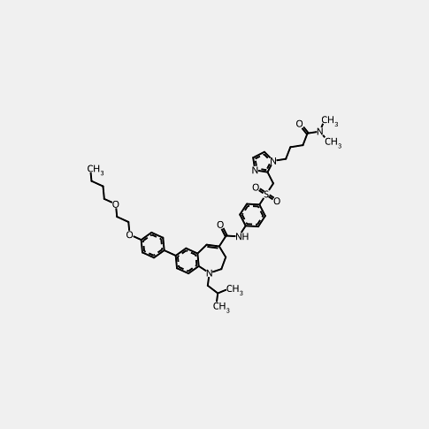 CCCCOCCOc1ccc(-c2ccc3c(c2)C=C(C(=O)Nc2ccc(S(=O)(=O)Cc4nccn4CCCC(=O)N(C)C)cc2)CCN3CC(C)C)cc1